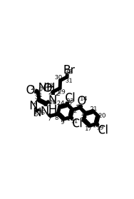 NC(=O)c1nnn(Cc2cc(Cl)c(C(=O)c3ccc(Cl)cc3)c(Cl)c2)c1NC(=O)CCCBr